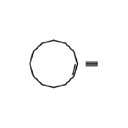 C#C.C1=CCCCCCCCCCC1